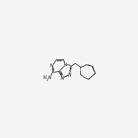 Nc1nccn2c(CC3CCCCC3)nnc12